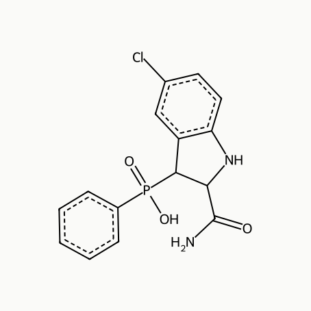 NC(=O)C1Nc2ccc(Cl)cc2C1P(=O)(O)c1ccccc1